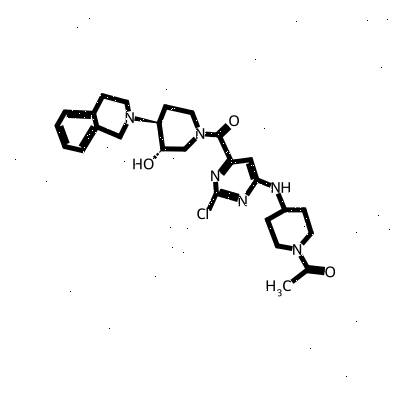 CC(=O)N1CCC(Nc2cc(C(=O)N3CC[C@H](N4CCc5ccccc5C4)[C@@H](O)C3)nc(Cl)n2)CC1